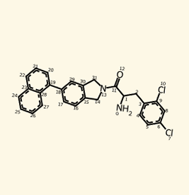 NC(Cc1ccc(Cl)cc1Cl)C(=O)N1Cc2ccc(-c3cccc4ccccc34)cc2C1